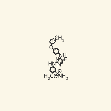 Cc1ccc(Nc2ncc(F)c(Nc3ccc(OC4CCN(C)C4)cc3)n2)cc1S(N)(=O)=O